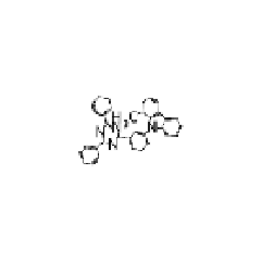 CC1CC=Cc2c1n(C1=CC(c3nc(C4=CCCC=C4)nc(-c4ccccc4)n3)=CCC1)c1ccccc21